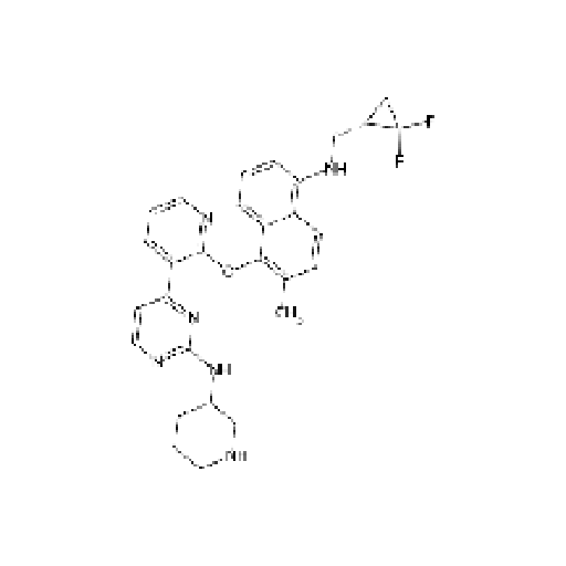 Cc1ccc2c(NC[C@@H]3CC3(F)F)cccc2c1Oc1ncccc1-c1ccnc(NC2CCCNC2)n1